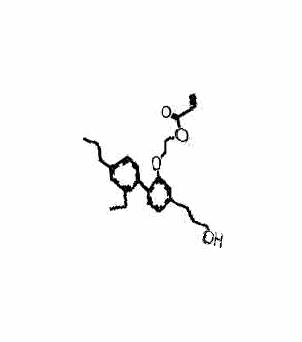 C=CC(=O)OCCOc1cc(CCCO)ccc1-c1ccc(CCC)cc1CC